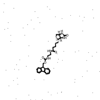 O=C(CCCC[C@@H]1SC[C@@H]2NC(=O)N[C@@H]21)NCCNC(=O)OCC1c2ccccc2-c2ccccc21